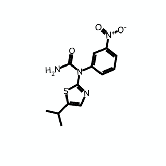 CC(C)c1cnc(N(C(N)=O)c2cccc([N+](=O)[O-])c2)s1